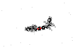 CC(C)(C)[C@H](NC(=O)[C@@]1(C)CCC(F)(F)CO1)c1ncc(-c2ccc(C34CCC(c5cnc([C@@H](NC(=O)[C@@]6(C)CCC(F)(F)CO6)C(C)(C)C)[nH]5)(CC3)CC4)cc2)[nH]1